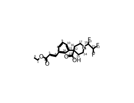 CCOC(=O)C=Cc1cccc(C2(C(=O)O)CCN(C(F)C(F)F)CC2)c1